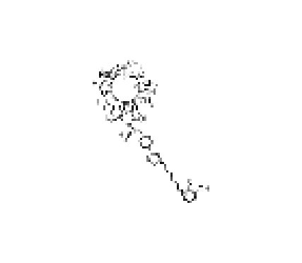 CC[C@H]1OC(=O)[C@H](C)[C@@H](O)[C@H](C)[C@@H](O[C@@H]2O[C@H](C)C[C@H](N(C)Cc3ccc(-c4cn(CCCCCCn5cccc(O)c5=S)nn4)cc3)[C@H]2O)[C@](C)(OC)C[C@@H](C)C(=O)[C@H](C)[C@@H](O)[C@]1(C)O